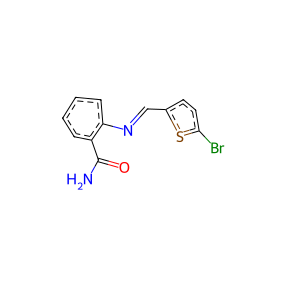 NC(=O)c1ccccc1N=Cc1ccc(Br)s1